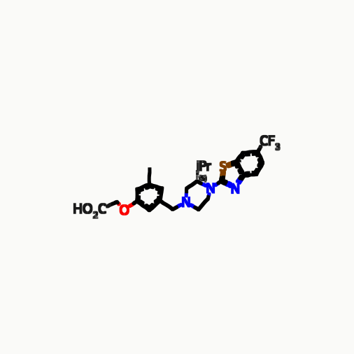 Cc1cc(CN2CCN(c3nc4ccc(C(F)(F)F)cc4s3)[C@@H](C(C)C)C2)cc(OCC(=O)O)c1